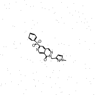 Cn1ccc(Cn2ncc3cc(S(=O)(=O)c4ccccc4)ncc3c2=O)n1